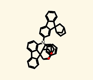 c1ccc(N(c2ccc3c(c2)C2(CC4CCC2C4)c2ccccc2-3)c2cccc3c2C2(c4ccccc4-3)C3CCC4CC(C3)CC2C4)cc1